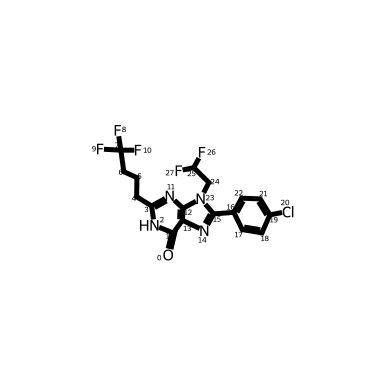 O=c1[nH]c(CCCC(F)(F)F)nc2c1nc(-c1ccc(Cl)cc1)n2CC(F)F